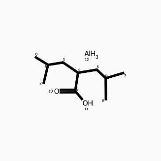 CC(C)CC(CC(C)C)C(=O)O.[AlH3]